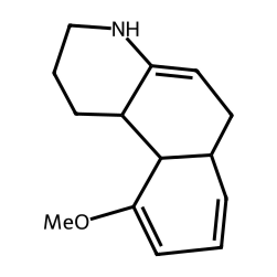 COC1=CC=CC2CC=C3NCCCC3C12